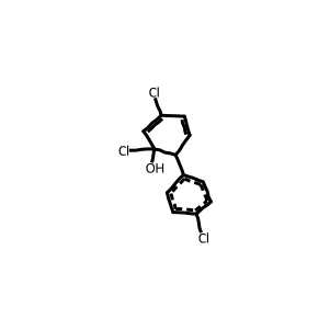 OC1(Cl)C=C(Cl)C=CC1c1ccc(Cl)cc1